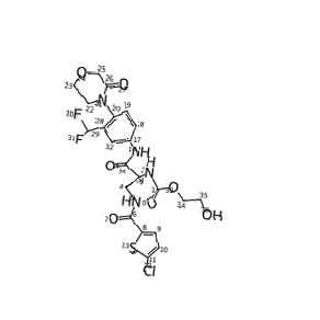 O=C(N[C@@H](CNC(=O)c1ccc(Cl)s1)C(=O)Nc1ccc(N2CCOCC2=O)c(C(F)F)c1)OCCO